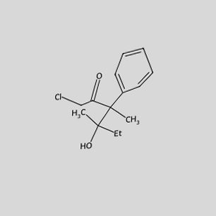 CCC(C)(O)C(C)(C(=O)CCl)c1ccccc1